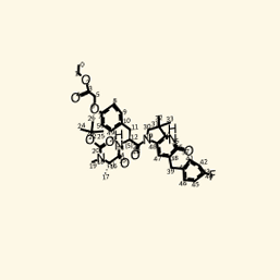 CCOC(=O)COc1ccc(C[C@H](NC(=O)[C@H](C)N(C)C(=O)OC(C)(C)C)C(=O)N2CC(C)(C)c3[nH]c(=O)c(Cc4ccc(F)cc4)cc32)cc1